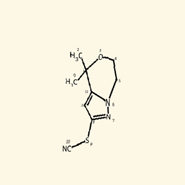 CC1(C)OCCn2nc(SC#N)cc21